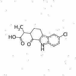 CC(C(=O)O)C1CCc2c([nH]c3ccc(Cl)cc23)C1=O